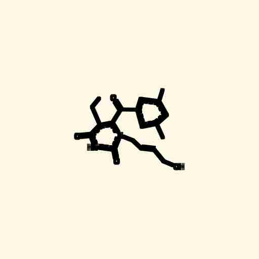 CCc1c(C(=O)c2cc(C)cc(C)c2)n(CC=CCO)c(=O)[nH]c1=O